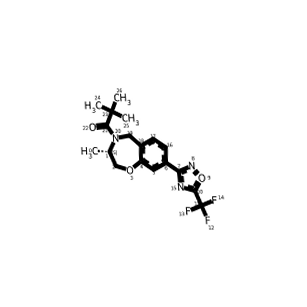 C[C@H]1COc2cc(-c3noc(C(F)(F)F)n3)ccc2CN1C(=O)C(C)(C)C